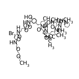 CCCOCCOCCNC(=O)/C=C(/Br)C(=O)NCCC(=O)OC(=O)Nc1cc(C[C@@H](CC(C)C(=O)O)NC(=O)c2csc([C@@H](C[C@H](C(C)C)N(C)C(=O)[C@@H](NC(=O)[C@H]3CCCCN3C)[C@@H](C)CC)OC(C)=O)n2)ccc1O